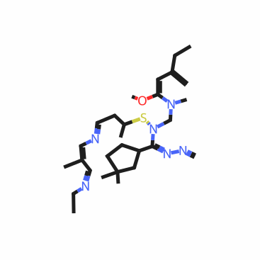 C=N/N=C(/C1CCC(C)(C)C1)N(CN(C)/C(=C\C(=C)CC)OC)SC(C)C/C=N/C=C(C)\C=N/CC